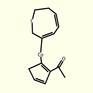 CC(=O)C1=[C]([Co][C]2=CC=CCCCC2)CC=C1